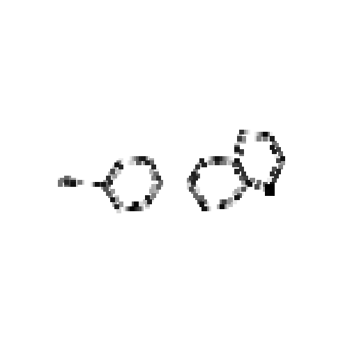 CCCCc1ccc(-c2ccc3ncccc3c2)cc1